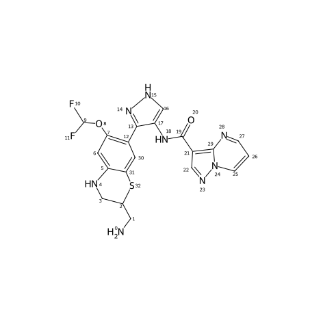 NCC1CNc2cc(OC(F)F)c(-c3n[nH]cc3NC(=O)c3cnn4cccnc34)cc2S1